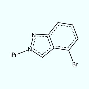 CC(C)n1cc2c(Br)cccc2n1